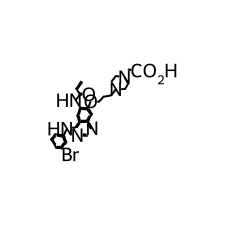 C=CC(=O)Nc1cc2c(Nc3cccc(Br)c3)ncnc2cc1OCCCN1CCN(CC(=O)O)CC1